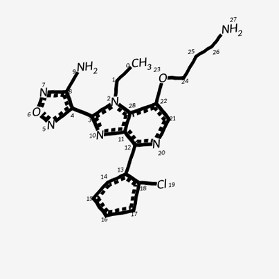 CCn1c(-c2nonc2N)nc2c(-c3ccccc3Cl)ncc(OCCCN)c21